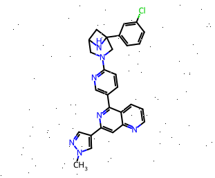 Cn1cc(-c2cc3ncccc3c(-c3ccc(N4CC5CC(c6cccc(Cl)c6)(C4)N5)nc3)n2)cn1